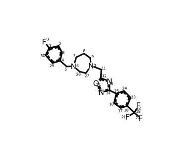 Fc1ccc(CN2CCCN(Cc3nc(-c4ccc(C(F)(F)F)cc4)no3)CC2)cc1